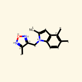 Cc1ccc2c(cc(C#N)n2Cc2nonc2C)c1C